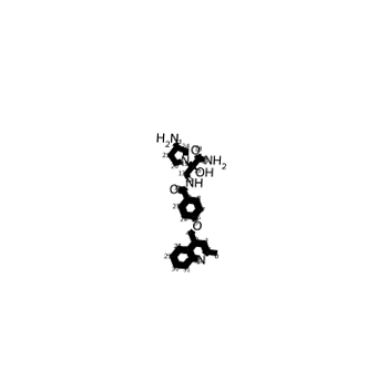 Cc1cc(COc2ccc(C(=O)NC[C@](O)(C(N)=O)N3CCC(N)C3)cc2)c2ccccc2n1